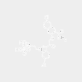 NC(=O)c1cc2cc(Cl)ccc2cc1OCC(=O)c1cn(CCC(CO)OP(=O)(O)O)c2cc(C3CC3)ccc12